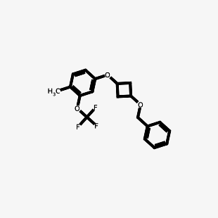 Cc1ccc(OC2CC(OCc3ccccc3)C2)cc1OC(F)(F)F